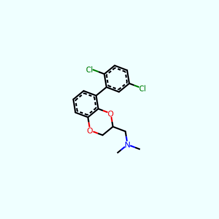 CN(C)CC1COc2cccc(-c3cc(Cl)ccc3Cl)c2O1